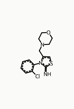 N=c1scc(CN2CCOCC2)n1-c1ccccc1Cl